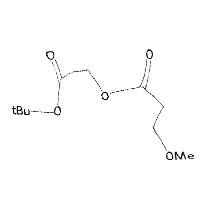 COCCC(=O)OCC(=O)OC(C)(C)C